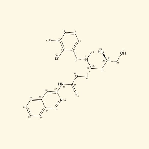 CN(Cc1cccc(F)c1Cl)[C@@H](COC(=O)Nc1cc2ccccc2cn1)C[C@@H](O)CO